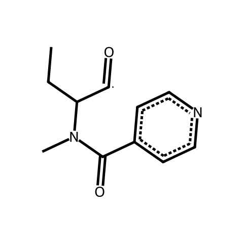 CCC([C]=O)N(C)C(=O)c1ccncc1